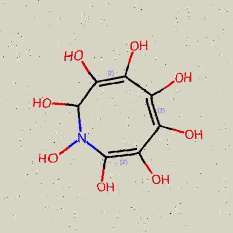 OC1=C(O)/C(O)=C(/O)N(O)C(O)/C(O)=C\1O